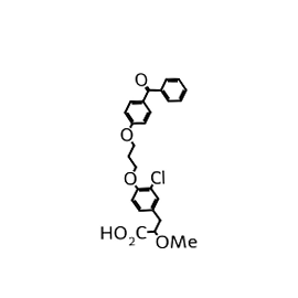 COC(Cc1ccc(OCCCOc2ccc(C(=O)c3ccccc3)cc2)c(Cl)c1)C(=O)O